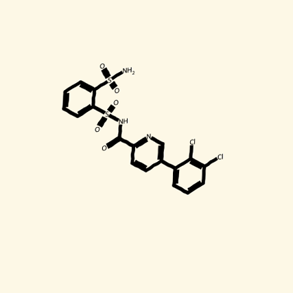 NS(=O)(=O)c1ccccc1S(=O)(=O)NC(=O)c1ccc(-c2cccc(Cl)c2Cl)cn1